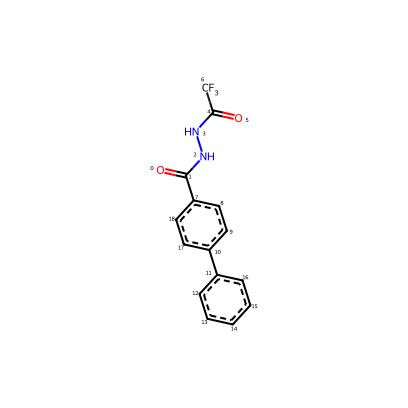 O=C(NNC(=O)C(F)(F)F)c1ccc(-c2ccccc2)cc1